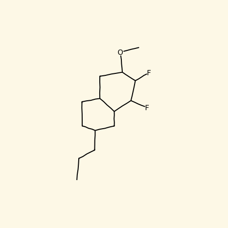 CCCC1CCC2CC(OC)C(F)C(F)C2C1